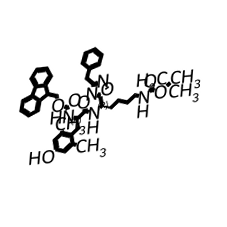 Cc1cc(O)cc(C)c1C[C@@H](NC(=O)OCC1c2ccccc2-c2ccccc21)C(=O)N[C@H](CCCCNC(=O)OC(C)(C)C)c1nc(Cc2ccccc2)no1